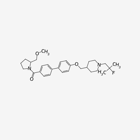 COCC1CCCN1C(=O)c1ccc(-c2ccc(OCC3CCN(CC(C)(C)F)CC3)cc2)cc1